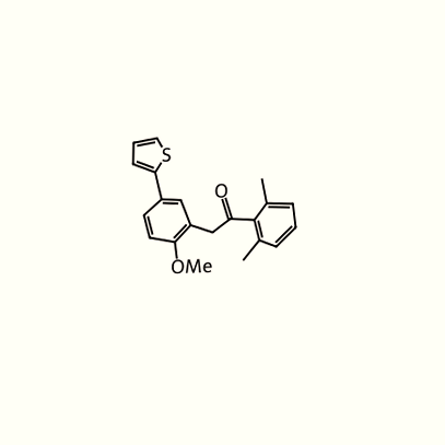 COc1ccc(-c2cccs2)cc1CC(=O)c1c(C)cccc1C